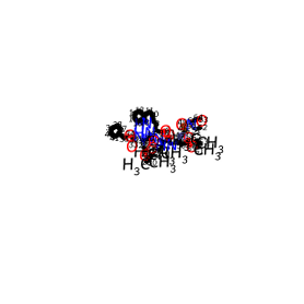 CC(C)C(NC(=O)C(Cc1ccc2ccccc2n1)NC(=O)[C@H](CC(=O)OC(C)(C)C)NC(=O)OCc1ccccc1)C(=O)NC(/C=C/[S+]([O-])N1CCOCC1)CC(=O)OC(C)(C)C